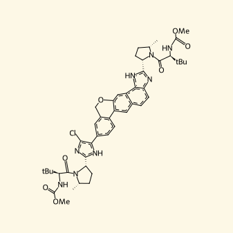 COC(=O)N[C@H](C(=O)N1[C@@H](C)CC[C@H]1c1nc(Cl)c(-c2ccc3c(c2)COc2cc4c(ccc5nc([C@@H]6CC[C@H](C)N6C(=O)[C@@H](NC(=O)OC)C(C)(C)C)[nH]c54)cc2-3)[nH]1)C(C)(C)C